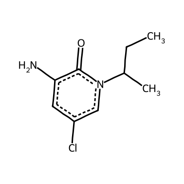 CCC(C)n1cc(Cl)cc(N)c1=O